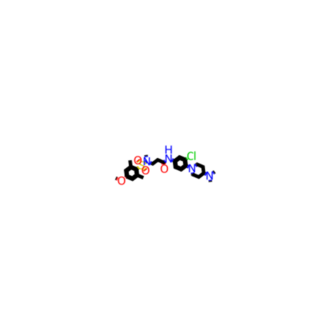 COc1cc(C)c(S(=O)(=O)N(C)CCC(=O)Nc2ccc(N3CCC(N(C)C)CC3)c(Cl)c2)c(C)c1